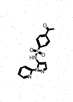 CC(=O)c1ccc(S(=O)(=O)Nc2ccnn2-c2ccccn2)cc1